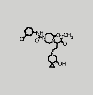 COC(=O)C(CCN1CCC2(CC2)[C@H](O)C1)N1CCN(C(=O)Nc2cccc(Cl)c2)CCC1=O